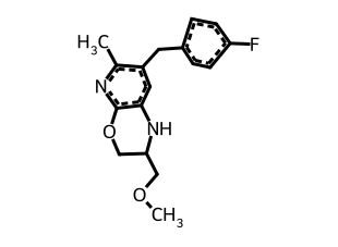 COCC1COc2nc(C)c(Cc3ccc(F)cc3)cc2N1